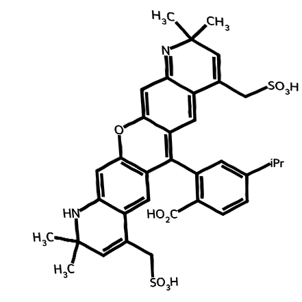 CC(C)c1ccc(C(=O)O)c(C2=c3cc4c(cc3Oc3cc5c(cc32)C(CS(=O)(=O)O)=CC(C)(C)N5)=NC(C)(C)C=C4CS(=O)(=O)O)c1